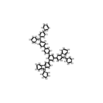 c1ccc(-c2ccc(N(c3ccccc3)c3ccc(-c4ccc(-c5cc(-c6ccc7c(c6)c6ccccc6n7-c6ccccc6)cc(-c6ccc7c(c6)c6ccccc6n7-c6ccccc6)c5)cc4)cc3)cc2)cc1